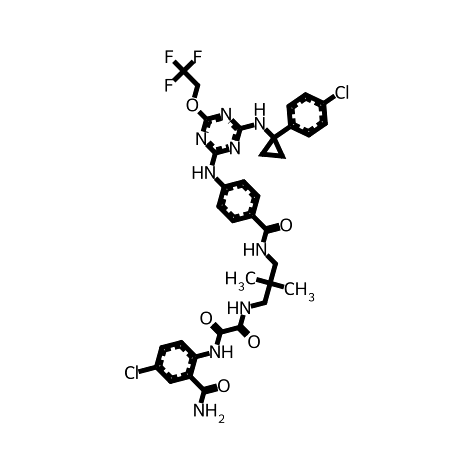 CC(C)(CNC(=O)C(=O)Nc1ccc(Cl)cc1C(N)=O)CNC(=O)c1ccc(Nc2nc(NC3(c4ccc(Cl)cc4)CC3)nc(OCC(F)(F)F)n2)cc1